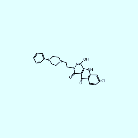 O=c1c2ccc(Cl)cc2[nH]c2c(O)nn(CCN3CCN(c4ccccc4)CC3)c(=O)c12